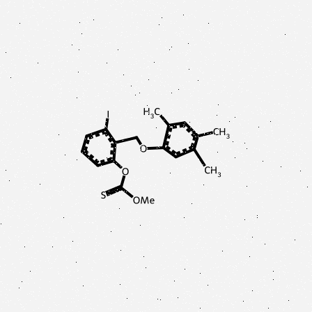 COC(=S)Oc1cccc(I)c1COc1cc(C)c(C)cc1C